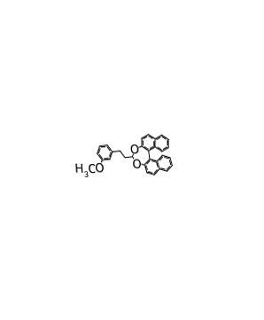 COc1cccc(CCC2Oc3ccc4ccccc4c3-c3c(ccc4ccccc34)O2)c1